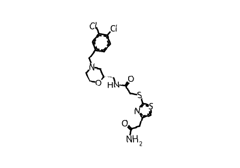 NC(=O)Cc1csc(SCC(=O)NC[C@H]2CN(Cc3ccc(Cl)c(Cl)c3)CCO2)n1